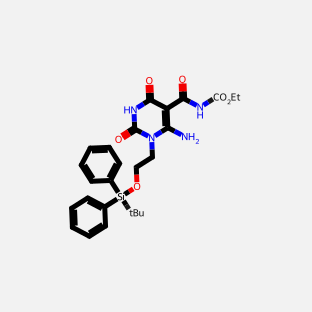 CCOC(=O)NC(=O)c1c(N)n(CCO[Si](c2ccccc2)(c2ccccc2)C(C)(C)C)c(=O)[nH]c1=O